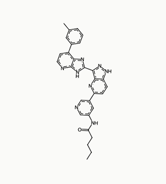 CCCCC(=O)Nc1cncc(-c2ccc3[nH]nc(-c4nc5c(-c6cccc(C)c6)ccnc5[nH]4)c3n2)c1